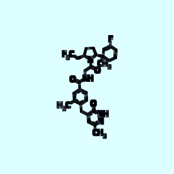 Cc1cc(Cc2ccc(C(=O)NCC(=O)N3[C@@H](CC(F)(F)F)CC[C@H]3C3(C)C=C(F)C=CC3)cc2C)c(=O)[nH]n1